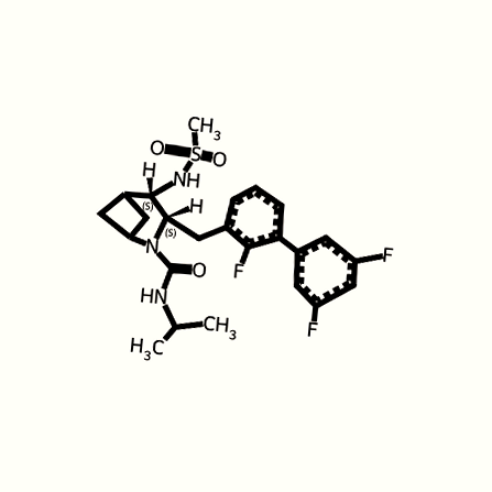 CC(C)NC(=O)N1C2CC(C2)[C@H](NS(C)(=O)=O)[C@@H]1Cc1cccc(-c2cc(F)cc(F)c2)c1F